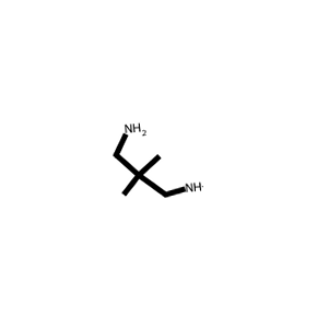 CC(C)(C[NH])CN